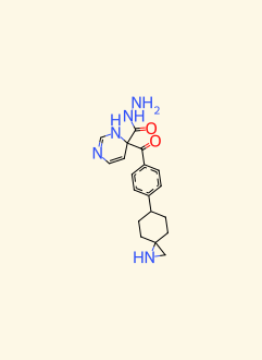 NNC(=O)C1(C(=O)c2ccc(C3CCC4(CC3)CN4)cc2)C=CN=CN1